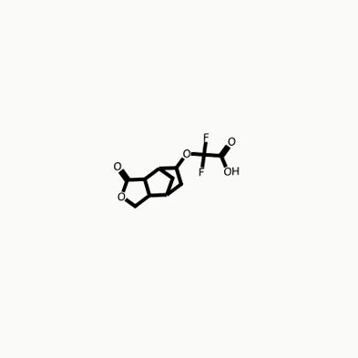 O=C1OCC2C3CC(OC(F)(F)C(=O)O)C(C3)C12